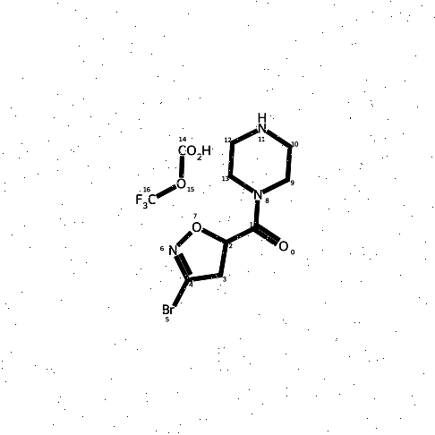 O=C(C1CC(Br)=NO1)N1CCNCC1.O=C(O)OC(F)(F)F